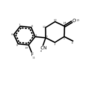 CC1CC(C#N)(c2ccccc2F)CCC1=O